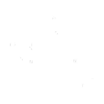 Cc1nnc(-c2ccc(C(=O)N3CCC(F)(F)CC3)c(-c3cccc(C(C)C)n3)c2)[nH]1